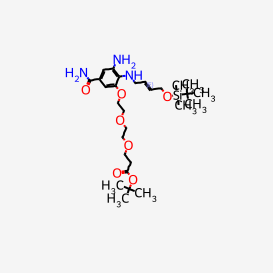 CC(C)(C)OC(=O)CCOCCOCCOc1cc(C(N)=O)cc(N)c1NC/C=C/CO[Si](C)(C)C(C)(C)C